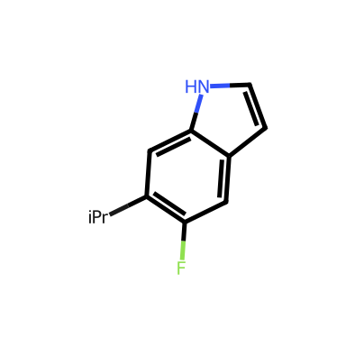 CC(C)c1cc2[nH]ccc2cc1F